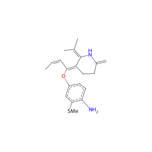 C=C1CC/C(=C(/C=C\C)Oc2ccc(N)c(SC)c2)C(=C(C)C)N1